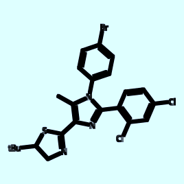 Cc1c(C2=NCC(C(C)(C)C)S2)nc(-c2ccc(Cl)cc2Cl)n1-c1ccc(Br)cc1